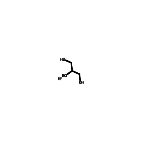 F.OCC(O)CO